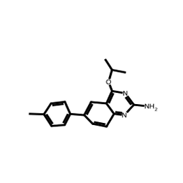 Cc1ccc(-c2ccc3nc(N)nc(OC(C)C)c3c2)cc1